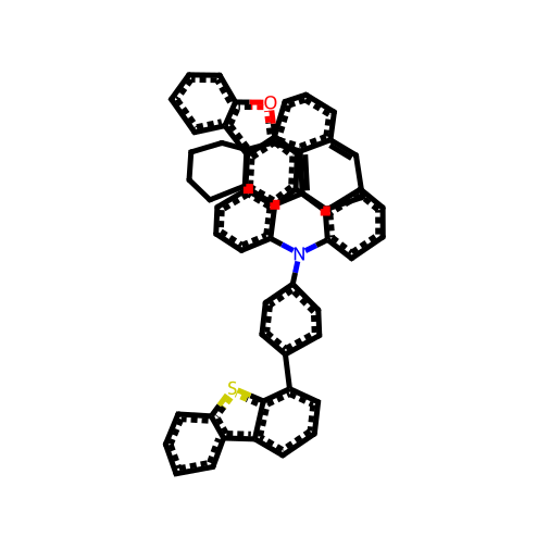 C1=c2cccc(C3CCCCC3)c2=C(c2ccccc2N(c2ccc(-c3cccc4c3sc3ccccc34)cc2)c2ccccc2-c2ccc3c(c2)oc2ccccc23)CC1